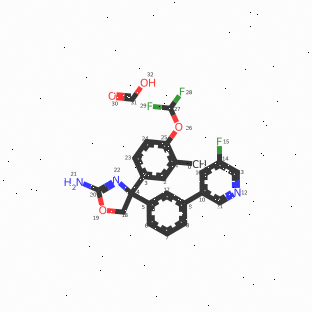 Cc1cc(C2(c3cccc(-c4cncc(F)c4)c3)COC(N)=N2)ccc1OC(F)F.O=CO